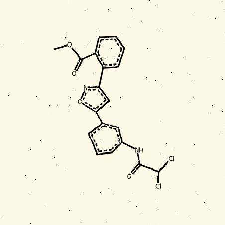 COC(=O)c1ccccc1-c1cc(-c2cccc(NC(=O)C(Cl)Cl)c2)on1